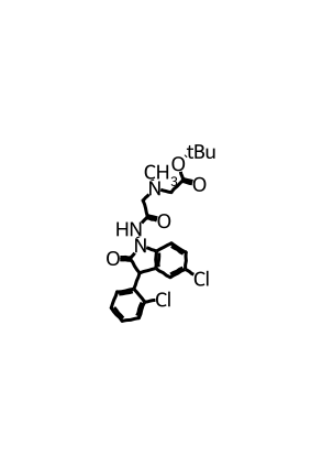 CN(CC(=O)NN1C(=O)C(c2ccccc2Cl)c2cc(Cl)ccc21)CC(=O)OC(C)(C)C